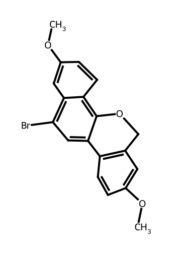 COc1ccc2c(c1)COc1c-2cc(Br)c2cc(OC)ccc12